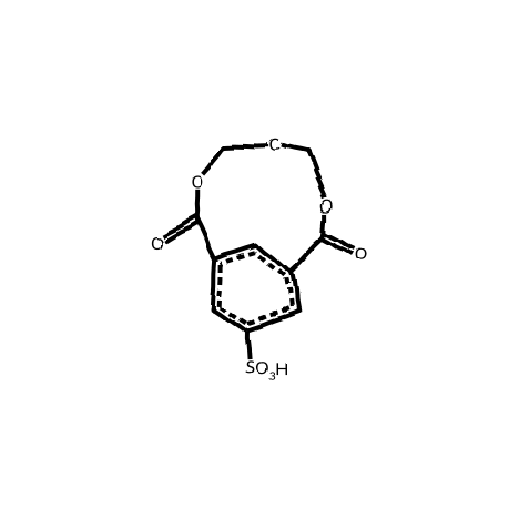 O=C1OCCCOC(=O)c2cc1cc(S(=O)(=O)O)c2